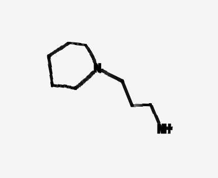 [NH]CCCN1CCCCC1